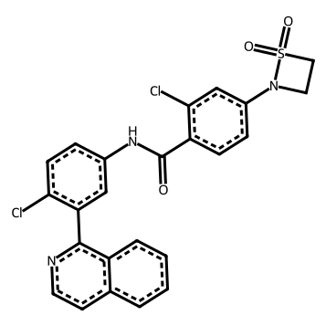 O=C(Nc1ccc(Cl)c(-c2nccc3ccccc23)c1)c1ccc(N2CCS2(=O)=O)cc1Cl